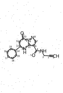 C#CCNC(=O)c1cnn2c(=O)cc(-c3ccccc3)[nH]c12